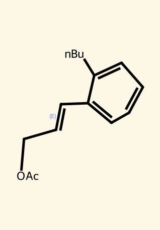 CCCCc1ccccc1/C=C/COC(C)=O